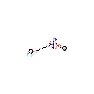 CN(C)CC(CC(=O)OCc1ccccc1)NC(=O)CCCCCCCCOc1cccc(F)c1F